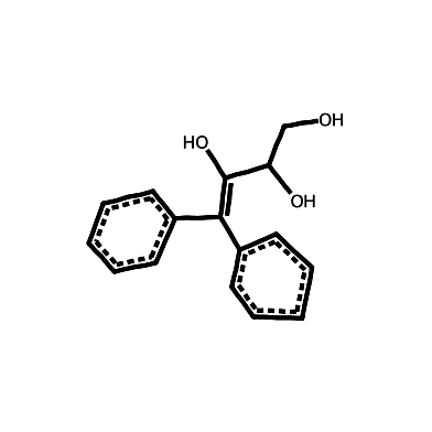 OCC(O)C(O)=C(c1ccccc1)c1ccccc1